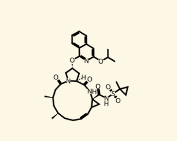 CC(C)Oc1cc2ccccc2c(O[C@@H]2C[C@H]3C(=O)N[C@]4(C(=O)NS(=O)(=O)C5(C)CC5)CC4/C=C\CC[C@@H](C)C[C@@H](C)CC(=O)N3C2)n1